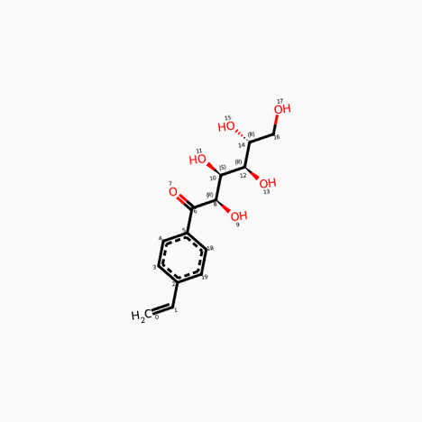 C=Cc1ccc(C(=O)[C@H](O)[C@@H](O)[C@H](O)[C@H](O)CO)cc1